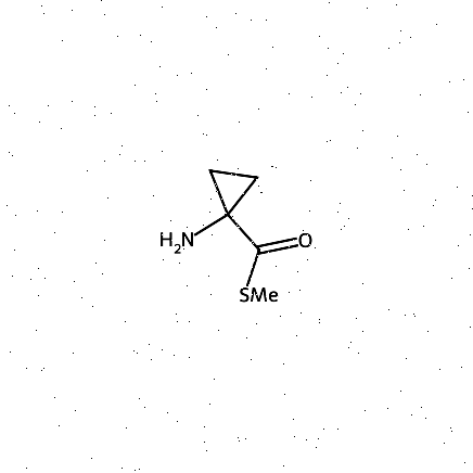 CSC(=O)C1(N)CC1